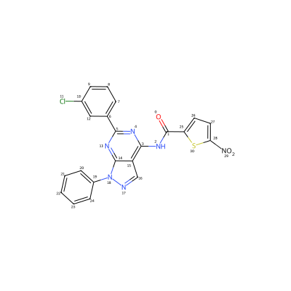 O=C(Nc1nc(-c2cccc(Cl)c2)nc2c1cnn2-c1ccccc1)c1ccc([N+](=O)[O-])s1